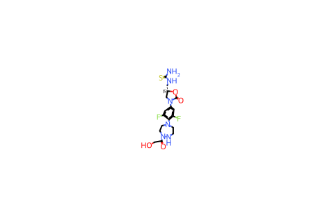 NC(=S)NC[C@H]1CN(c2cc(F)c(N3CCNN(C(=O)CO)CC3)c(F)c2)C(=O)O1